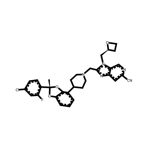 C[C@]1(c2ccc(Cl)cc2F)Oc2cccc(C3CCN(Cc4nc5cc(C#N)ncc5n4C[C@@H]4CCO4)CC3)c2O1